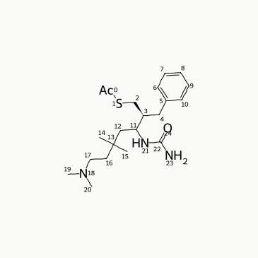 CC(=O)SC[C@@H](Cc1ccccc1)C(CC(C)(C)CCN(C)C)NC(N)=O